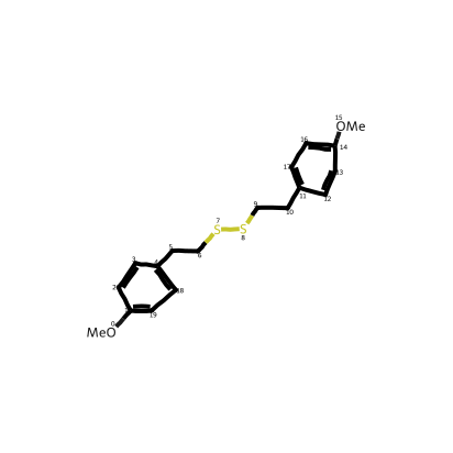 COc1ccc(CCSSCCc2ccc(OC)cc2)cc1